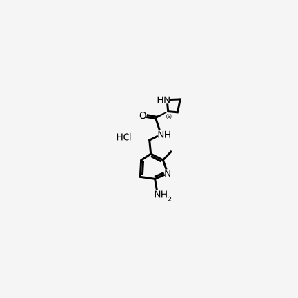 Cc1nc(N)ccc1CNC(=O)[C@@H]1CCN1.Cl